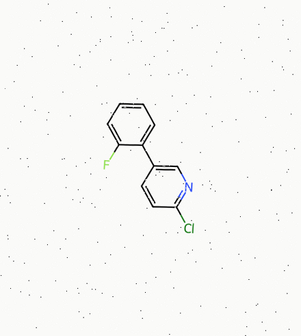 Fc1ccccc1-c1ccc(Cl)nc1